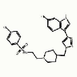 O=S(=O)(NCCN1CCC(Cn2cc(-c3c[nH]c4cc(Cl)ccc34)nn2)CC1)c1ccc(Cl)cc1